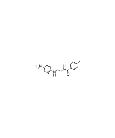 Cc1ccc(C(=O)NCCNc2ccc(N)cn2)cc1